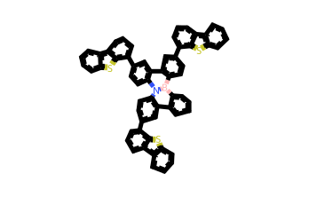 c1ccc2c(c1)B1c3ccc(-c4cccc5c4sc4ccccc45)cc3-c3cc(-c4cccc5c4sc4ccccc45)ccc3N1c1ccc(-c3cccc4c3sc3ccccc34)cc1-2